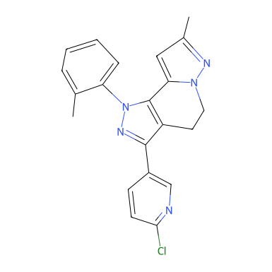 Cc1cc2n(n1)CCc1c(-c3ccc(Cl)nc3)nn(-c3ccccc3C)c1-2